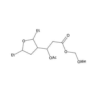 CCC1CC(C(CC(=O)OCOC)OC(C)=O)C(CC)O1